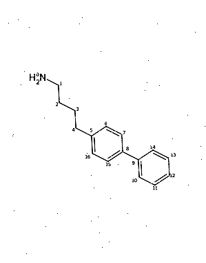 NCCCCc1ccc(-c2ccccc2)cc1